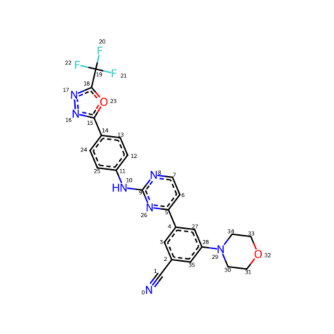 N#Cc1cc(-c2ccnc(Nc3ccc(-c4nnc(C(F)(F)F)o4)cc3)n2)cc(N2CCOCC2)c1